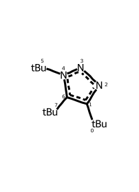 CC(C)(C)c1nnn(C(C)(C)C)c1C(C)(C)C